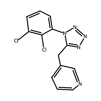 Clc1cccc(-n2nnnc2Cc2cccnc2)c1Cl